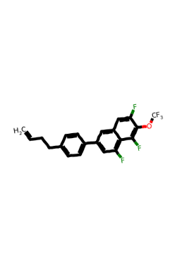 C=CCCc1ccc(-c2cc(F)c3c(F)c(OC(F)(F)F)c(F)cc3c2)cc1